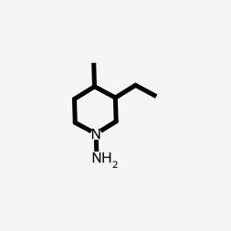 CCC1CN(N)CCC1C